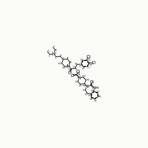 CCN(CC)CCC1CCN(C(=O)C(Cc2ccc(Cl)c(Cl)c2)OC(=O)N2CCC(N3CCc4ccccc4NC3=O)CC2)CC1